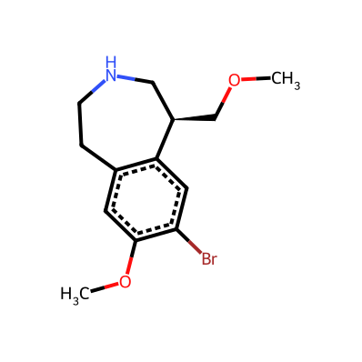 COC[C@@H]1CNCCc2cc(OC)c(Br)cc21